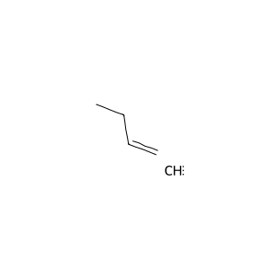 C=CCC.[CH]